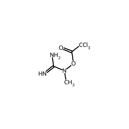 CN(OC(=O)C(Cl)(Cl)Cl)C(=N)N